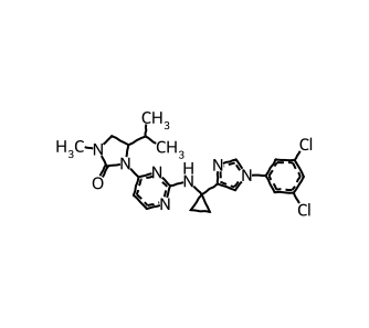 CC(C)C1CN(C)C(=O)N1c1ccnc(NC2(c3cn(-c4cc(Cl)cc(Cl)c4)cn3)CC2)n1